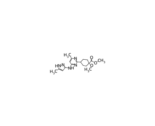 COC(=O)C1(OC)CCC(c2nc(C)cc(Nc3cc(C)[nH]n3)n2)CC1